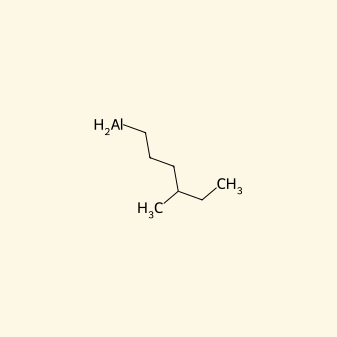 CCC(C)CC[CH2][AlH2]